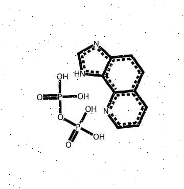 O=P(O)(O)OP(=O)(O)O.c1cnc2c(c1)ccc1nc[nH]c12